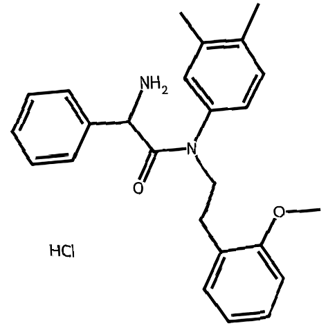 COc1ccccc1CCN(C(=O)C(N)c1ccccc1)c1ccc(C)c(C)c1.Cl